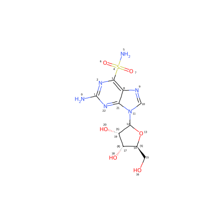 Nc1nc(S(N)(=O)=O)c2ncn(C3O[C@@H](CO)[C@H](O)[C@@H]3O)c2n1